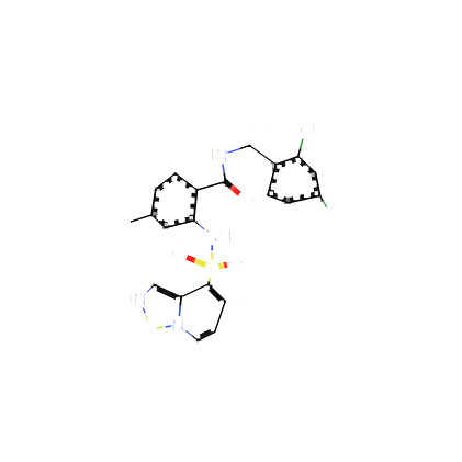 Cc1ccc(C(=O)N[C@H](C)c2ccc(Cl)cc2Cl)c(NS(=O)(=O)C2=CC=CN3SNC=C23)c1